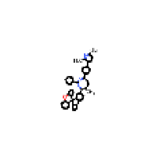 Cc1nc(C(C)(C)C)ccc1-c1ccc(/C2=N/C(c3ccccc3)=N\C(c3ccc4c(c3)C3(c5ccccc5Oc5ccccc53)c3ccccc3-4)C(C)CC2)cc1